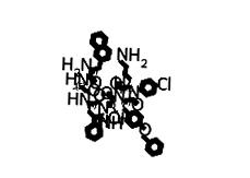 C[C@H](NC(=O)[C@@H](N)Cc1ccc2ccccc2c1)C(=O)N[C@H](Cc1c[nH]c2ccccc12)C(=O)N[C@@H](CO)C(=O)N[C@@H](Cc1ccc(OCc2ccccc2)cc1)C(=O)N(c1ccc(Cl)cc1)[C@@H]([C]=O)CCCCN